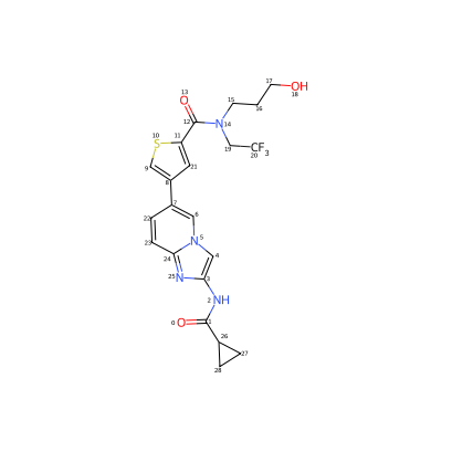 O=C(Nc1cn2cc(-c3csc(C(=O)N(CCCO)CC(F)(F)F)c3)ccc2n1)C1CC1